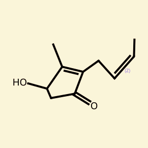 C/C=C\CC1=C(C)C(O)CC1=O